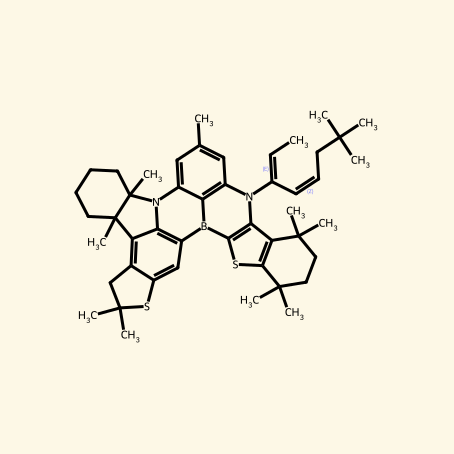 C/C=C(\C=C/CC(C)(C)C)N1c2cc(C)cc3c2B(c2cc4c(c5c2N3C2(C)CCCCC52C)CC(C)(C)S4)c2sc3c(c21)C(C)(C)CCC3(C)C